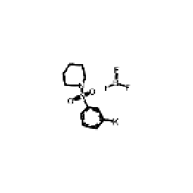 FB(F)F.O=S(=O)(c1ccc[c]([K])c1)N1CCCCC1